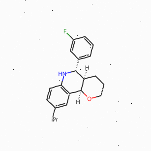 CC(C)c1ccc2c(c1)[C@@H]1OCCC[C@@H]1[C@@H](c1cccc(F)c1)N2